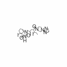 CCC(I)C(CC(I)Cn1c(=O)[nH]c(=O)c2c1=CCCC=2I)C(=O)N1CCN(c2ncccn2)CC1